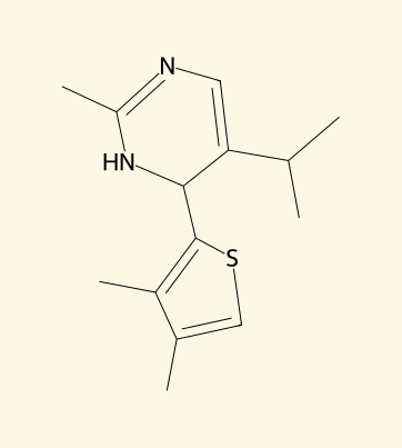 CC1=NC=C(C(C)C)C(c2scc(C)c2C)N1